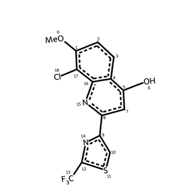 COc1ccc2c(O)cc(-c3csc(C(F)(F)F)n3)nc2c1Cl